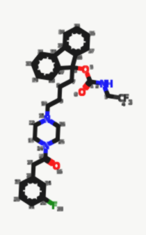 O=C(NCC(F)(F)F)OC1(CCCCN2CCN(C(=O)Cc3cccc(F)c3)CC2)c2ccccc2-c2ccccc21